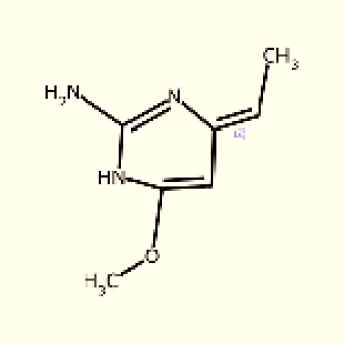 C/C=C1/C=C(OC)NC(N)=N1